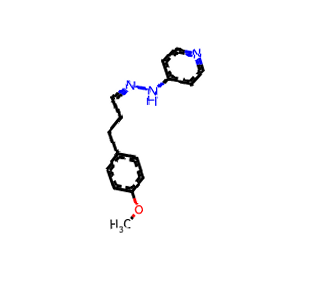 COc1ccc(CC/C=N\Nc2ccncc2)cc1